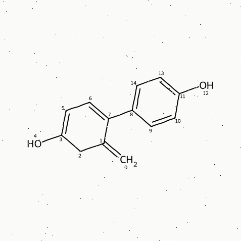 C=C1CC(O)=CC=C1c1ccc(O)cc1